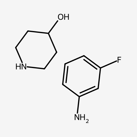 Nc1cccc(F)c1.OC1CCNCC1